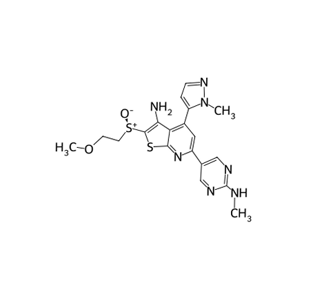 CNc1ncc(-c2cc(-c3ccnn3C)c3c(N)c([S@+]([O-])CCOC)sc3n2)cn1